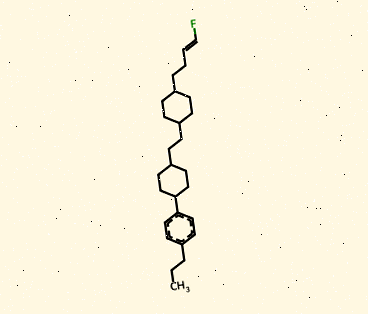 CCCc1ccc(C2CCC(CCC3CCC(CCC=CF)CC3)CC2)cc1